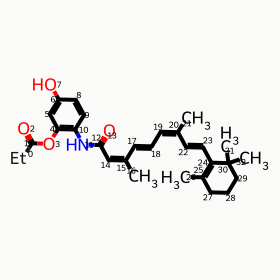 CCC(=O)Oc1cc(O)ccc1NC(=O)C=C(C)C=CC=C(C)C=CC1=C(C)CCCC1(C)C